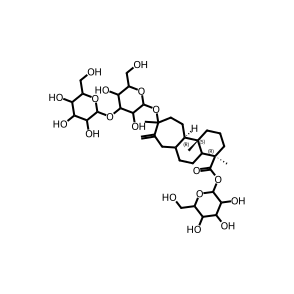 C=C1CC2CCC3[C@](C)(C(=O)OC4OC(CO)C(O)C(O)C4O)CCC[C@@]3(C)[C@@H]2CCC1(C)OC1OC(CO)C(O)C(OC2OC(CO)C(O)C(O)C2O)C1O